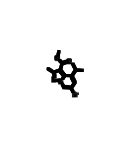 COC(=O)c1c(C)nn2cc(Br)cc(C(C)C)c12